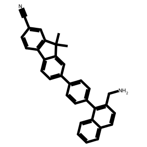 CC1(C)c2cc(C#N)ccc2-c2ccc(-c3ccc(-c4c(CN)ccc5ccccc45)cc3)cc21